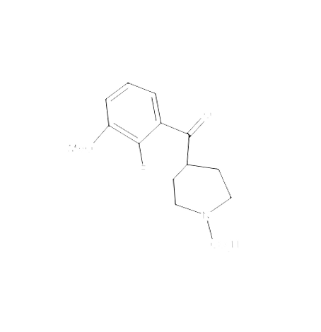 COc1cccc(C(=O)C2CCN(C(=O)O)CC2)c1F